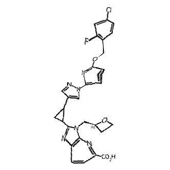 O=C(O)c1ccc2nc(C3CC3c3cnn(-c4cccc(OCc5ccc(Cl)cc5F)n4)c3)n(C[C@@H]3CCO3)c2n1